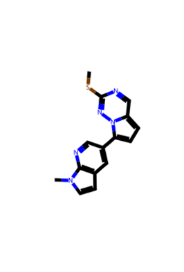 CSc1ncc2ccc(-c3cnc4c(ccn4C)c3)n2n1